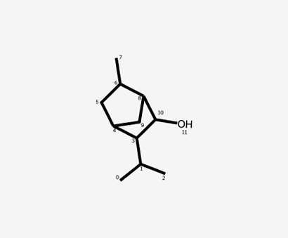 CC(C)C1C2CC(C)C(C2)C1O